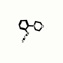 S=C=Nc1ccccc1N1CCOCC1